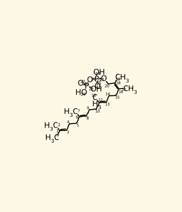 CC(C)=CCC/C(C)=C/CC/C(C)=C/CCC(C)=C(C)COP(=O)(O)OP(=O)(O)O